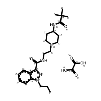 CCCn1nc(C(=O)NCCN2CCC(NC(=O)C(C)(C)C)CC2)c2ccccc21.O=C(O)C(=O)O